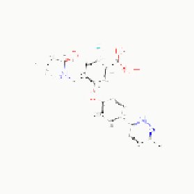 Cc1ccc(-c2ccc(Oc3cc(C(=O)O)c(F)cc3CN3CC(C)CC3=O)cc2)nn1